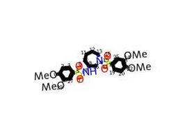 COc1ccc(S(=O)(=O)NC2CCCCN(S(=O)(=O)c3ccc(OC)c(OC)c3)C2)cc1OC